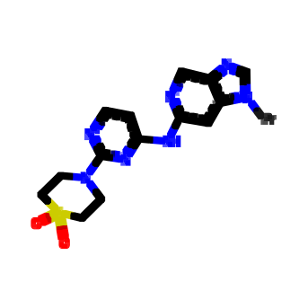 CC(C)n1cnc2cnc(Nc3ccnc(N4CCS(=O)(=O)CC4)n3)cc21